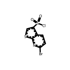 O=S(=O)(Cl)c1csc2nc(Br)ccc12